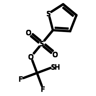 O=S(=O)(OC(F)(F)S)c1cccs1